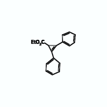 CCOC(=O)C1C(c2ccccc2)=C1c1ccccc1